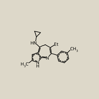 CCC1=C(c2cccc(C)c2)N=c2[nH]c(C)cc2=C(NC2CC2)C1